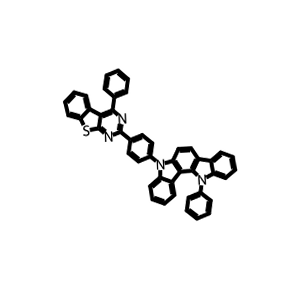 c1ccc(-c2nc(-c3ccc(-n4c5ccccc5c5c4ccc4c6ccccc6n(-c6ccccc6)c45)cc3)nc3sc4ccccc4c23)cc1